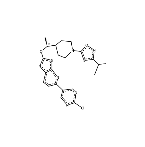 CC(C)c1noc(N2CCC([C@H](C)Oc3nc4ccc(-c5cnc(Cl)nc5)nc4s3)CC2)n1